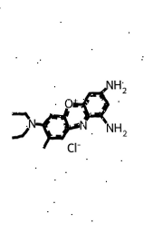 CCN(CC)c1cc2[o+]c3cc(N)cc(N)c3nc2cc1C.[Cl-]